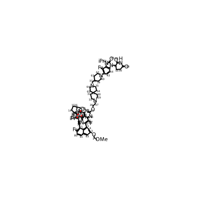 COCOc1cc(-c2ncc3c(N4CC5CCC(C4)N5C(=O)OC(C)(C)C)nc(OCCN4CCC5(CC4)CCN(CC4CCN(c6ccc7c(c6F)n(C(C)C)c(=O)n7C6CCC(=O)NC6=O)CC4)CC5)nc3c2F)c2c(C#C[Si](C(C)C)(C(C)C)C(C)C)c(F)ccc2c1